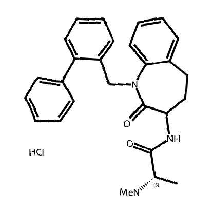 CN[C@@H](C)C(=O)NC1CCc2ccccc2N(Cc2ccccc2-c2ccccc2)C1=O.Cl